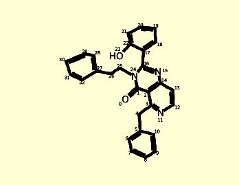 O=c1c2c(Cc3ccccc3)nccc2nc(-c2ccccc2O)n1CCc1ccccc1